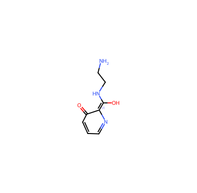 NCCN/C(O)=C1/N=CC=CC1=O